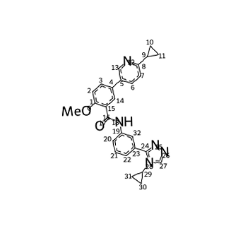 COc1ccc(-c2ccc(C3CC3)nc2)cc1C(=O)Nc1cccc(-c2nncn2C2CC2)c1